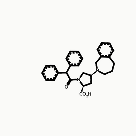 O=C(O)[C@@H]1C[C@H](N2CCCc3ccccc3C2)CN1C(=O)C(c1ccccc1)c1ccccc1